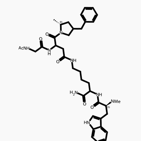 CN[C@@H](Cc1c[nH]c2ccccc12)C(=O)NC(CCCCNC(=O)CC(NC(=O)CNC(C)=O)C(=O)N1CC(Cc2ccccc2)C[C@H]1C)C(N)=O